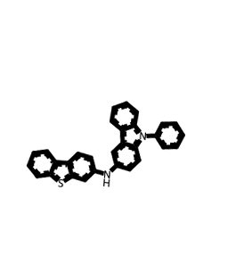 c1ccc(-n2c3ccccc3c3cc(Nc4ccc5c(c4)sc4ccccc45)ccc32)cc1